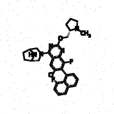 CN1CCC[C@H]1COc1nc(N2CC3CCC(C2)N3)c2cc(Cl)c(-c3cccc4cccc(F)c34)c(F)c2n1